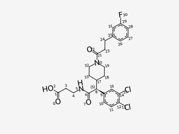 O=C(O)CCNC(=O)[C@H](c1ccc(Cl)c(Cl)c1)C1CCN(C(=O)CCc2cccc(F)c2)CC1